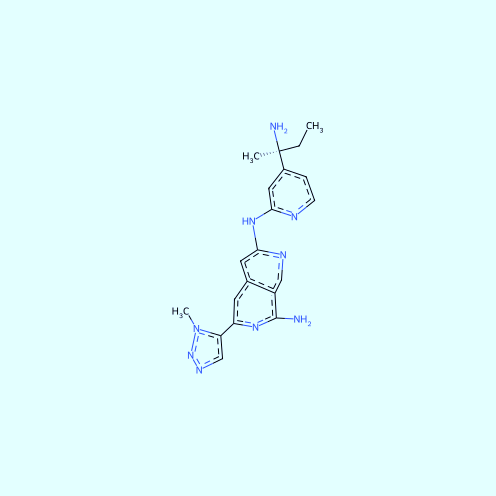 CC[C@](C)(N)c1ccnc(Nc2cc3cc(-c4cnnn4C)nc(N)c3cn2)c1